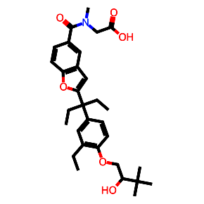 CCc1cc(C(CC)(CC)c2cc3cc(C(=O)N(C)CC(=O)O)ccc3o2)ccc1OCC(O)C(C)(C)C